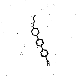 CCCOC1CCC(c2ccc(-c3ccc(C#N)cc3)cc2)CC1